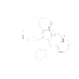 CC(=O)NCCc1c(C(C2=C(O)COC2=O)c2ccccc2)[nH]c2ccccc12